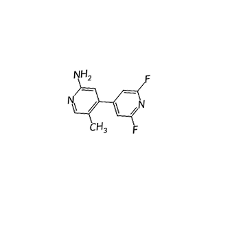 Cc1cnc(N)cc1-c1cc(F)nc(F)c1